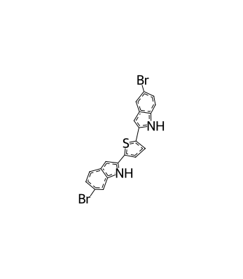 Brc1ccc2[nH]c(-c3ccc(-c4cc5ccc(Br)cc5[nH]4)s3)cc2c1